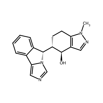 Cn1ncc2c1CC[C@@H]([C@H]1c3ccccc3-c3cncn31)[C@@H]2O